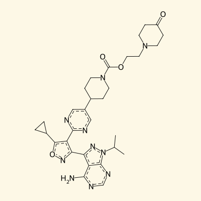 CC(C)n1nc(-c2noc(C3CC3)c2-c2ncc(C3CCN(C(=O)OCCN4CCC(=O)CC4)CC3)cn2)c2c(N)ncnc21